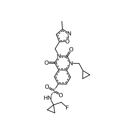 Cc1cc(Cn2c(=O)c3cc(S(=O)(=O)NC4(CF)CC4)ccc3n(CC3CC3)c2=O)on1